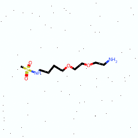 CS(=O)(=O)NCCCCOCCOCCN